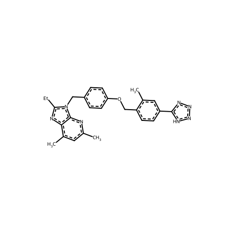 CCc1nc2c(C)cc(C)nc2n1Cc1ccc(OCc2ccc(-c3nnn[nH]3)cc2C)cc1